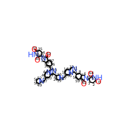 O=C1CCC(N2Cc3cc(-c4ncc5ccc(CN6CCC(c7nc(-c8ccc9c(c8)CN(C8CCC(=O)NC8=O)C9=O)n8ccc(CN9CCCC9)cc78)C6)cn45)ccc3C2=O)C(=O)N1